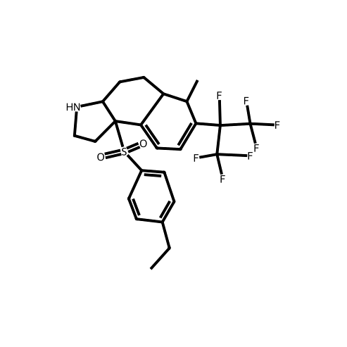 CCc1ccc(S(=O)(=O)C23CCNC2CCC2C3=CC=C(C(F)(C(F)(F)F)C(F)(F)F)C2C)cc1